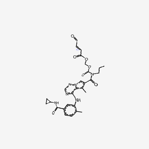 CCCN(C(=O)OCOC(=O)/C=C/C=O)C(=O)c1cn2ncnc(Nc3cc(C(=O)NC4CC4)ccc3C)c2c1C